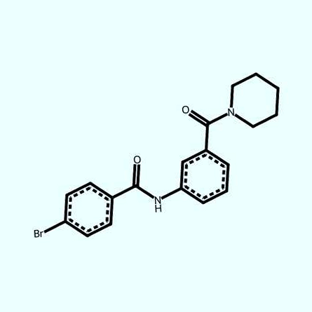 O=C(Nc1cccc(C(=O)N2CCCCC2)c1)c1ccc(Br)cc1